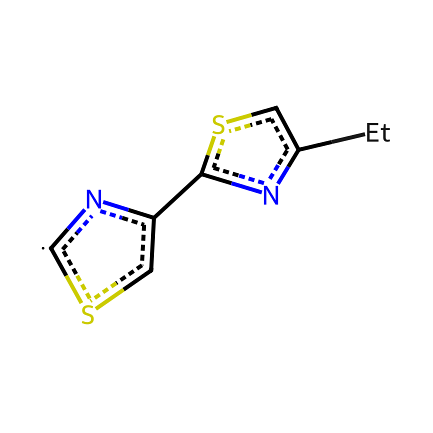 CCc1csc(-c2cs[c]n2)n1